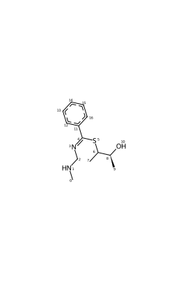 CNC/N=C(\SC(C)[C@H](C)O)c1ccccc1